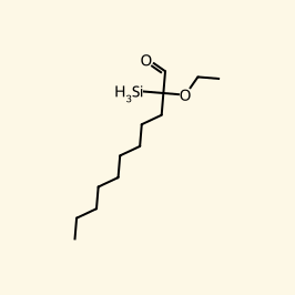 CCCCCCCCCC([SiH3])(C=O)OCC